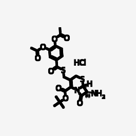 CC(=O)Oc1ccc(C(=O)SCC2=C(C(=O)OC(C)(C)C)N3C(=O)[C@@H](N)[C@H]3SC2)cc1OC(C)=O.Cl